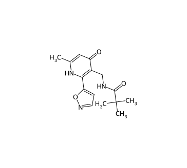 Cc1cc(=O)c(CNC(=O)C(C)(C)C)c(-c2ccno2)[nH]1